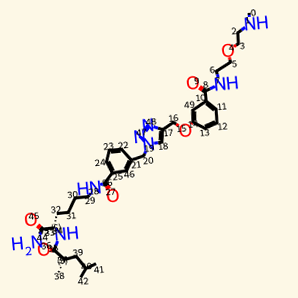 CNCCOCCNC(=O)c1cccc(OCc2cn(Cc3cccc(C(=O)NCCCC[C@H](NC(=O)[C@@H](C)CC(C)C)C(N)=O)c3)nn2)c1